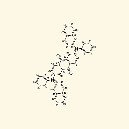 O=C1c2ccc(N(c3ccccc3)c3ccc4ccccc4c3)cc2C(=O)C2C=CC(N(c3ccccc3)c3ccc4ccccc4c3)=CC12